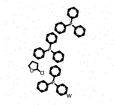 ClC1CCCO1.[W].c1ccc(P(c2ccccc2)c2ccccc2)cc1.c1ccc(P(c2ccccc2)c2ccccc2)cc1.c1ccc(P(c2ccccc2)c2ccccc2)cc1